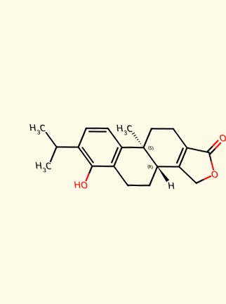 CC(C)c1ccc2c(c1O)CC[C@H]1C3=C(CC[C@]21C)C(=O)OC3